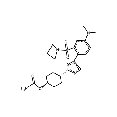 CN(C)c1ccc(-c2cnc([C@H]3CC[C@H](OC(N)=O)CC3)s2)c(S(=O)(=O)N2CCC2)c1